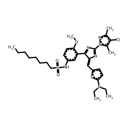 CCCCCCCCS(=O)(=O)Nc1ccc(OC)c(C2=NC(n3nc(C)c(Cl)c3C)=N/C2=C\c2ccc(N(CC)CC)s2)c1